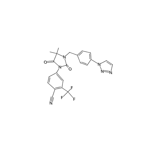 CC1(C)C(=O)N(c2ccc(C#N)c(C(F)(F)F)c2)C(=O)N1Cc1ccc(-n2ccnn2)cc1